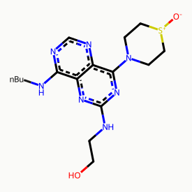 CCCCNc1ncnc2c(N3CC[S+]([O-])CC3)nc(NCCO)nc12